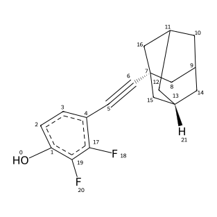 Oc1ccc(C#C[C@]23CC4CC(C[C@H](C4)C2)C3)c(F)c1F